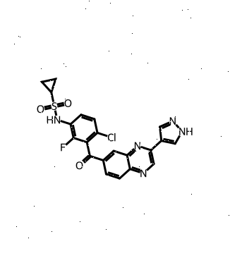 O=C(c1ccc2ncc(-c3cn[nH]c3)nc2c1)c1c(Cl)ccc(NS(=O)(=O)C2CC2)c1F